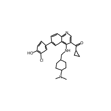 CN(C)C1CCC(CNc2c(C(=O)C3CC3)cnc3ccc(-c4ccc(O)c(Cl)c4)cc23)CC1